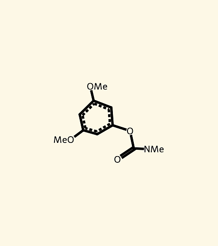 CNC(=O)Oc1cc(OC)cc(OC)c1